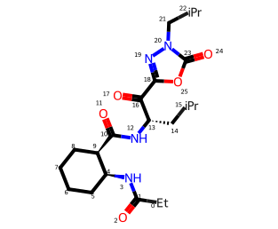 CCC(=O)N[C@H]1CCCC[C@H]1C(=O)N[C@@H](CC(C)C)C(=O)c1nn(CC(C)C)c(=O)o1